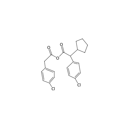 O=C(Cc1ccc(Cl)cc1)OC(=O)C(c1ccc(Cl)cc1)C1CCCC1